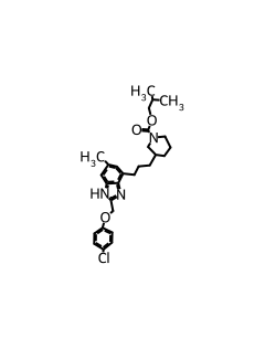 Cc1cc(CCCC2CCCN(C(=O)OCC(C)C)C2)c2nc(COc3ccc(Cl)cc3)[nH]c2c1